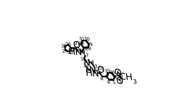 CS(=O)(=O)c1ccc(CC(=O)NN2CCN(CC[C@H](NC(=O)C3CCCC3)c3ccccc3)CC2)cc1